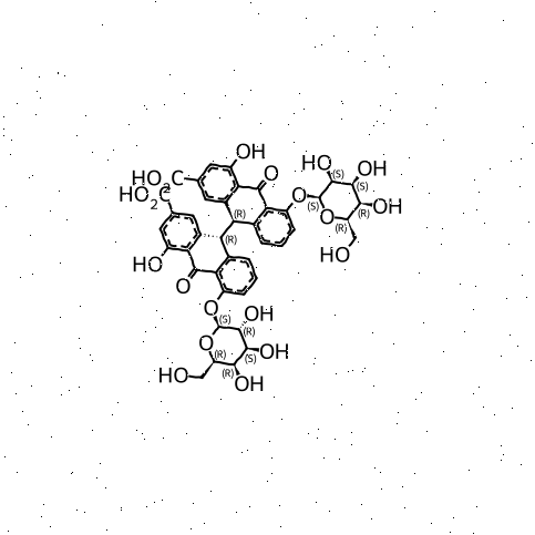 O=C(O)c1cc(O)c2c(c1)[C@H]([C@H]1c3cc(C(=O)O)cc(O)c3C(=O)c3c(O[C@@H]4O[C@H](CO)[C@H](O)[C@H](O)[C@H]4O)cccc31)c1cccc(O[C@@H]3O[C@H](CO)[C@H](O)[C@H](O)[C@@H]3O)c1C2=O